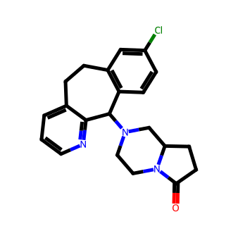 O=C1CCC2CN(C3c4ccc(Cl)cc4CCc4cccnc43)CCN12